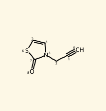 C#CCn1c[c]sc1=O